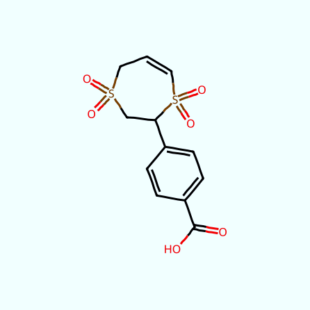 O=C(O)c1ccc(C2CS(=O)(=O)CC=CS2(=O)=O)cc1